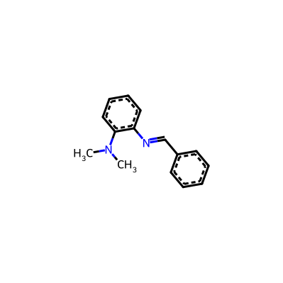 CN(C)c1ccccc1N=Cc1ccccc1